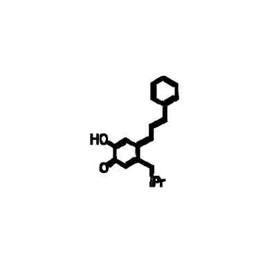 CC(C)CC1=CC(=O)C(O)=CC1=CC=Cc1ccccc1